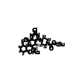 CC(=O)Oc1cccc(F)c1-n1c(C(F)(F)F)cc2c(N3CCN(C(=O)OC(C)(C)C)CC3)nc(Cl)nc2c1=O